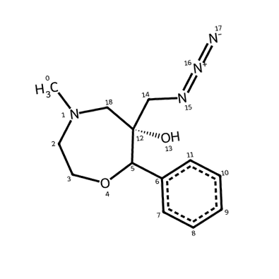 CN1CCOC(c2ccccc2)[C@](O)(CN=[N+]=[N-])C1